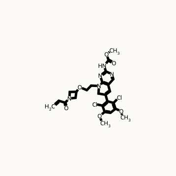 C=CC(=O)N1CC(OCCN2CC(c3c(Cl)c(OC)cc(OC)c3Cl)=Cc3cnc(NC(=O)OC)nc32)C1